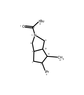 CC(C)C1CC2CN(C(=O)C(C)(C)C)CC2C1C